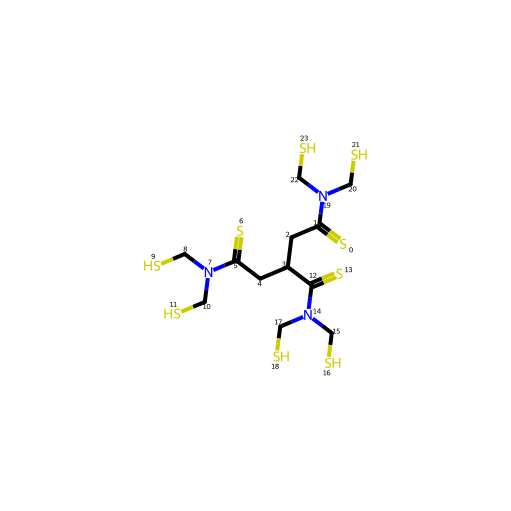 S=C(CC(CC(=S)N(CS)CS)C(=S)N(CS)CS)N(CS)CS